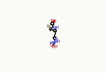 O=C(O)CNNc1ccc(CCc2ccc3c(c2)C2C=CCC2C(c2cc4c(cc2Br)OCO4)N3)cn1